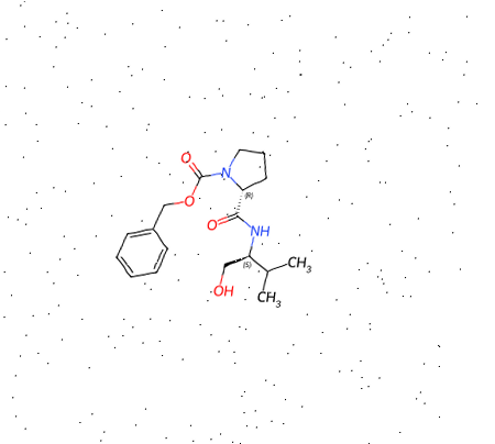 CC(C)[C@@H](CO)NC(=O)[C@H]1CCCN1C(=O)OCc1ccccc1